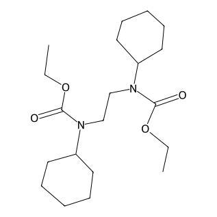 CCOC(=O)N(CCN(C(=O)OCC)C1CCCCC1)C1CCCCC1